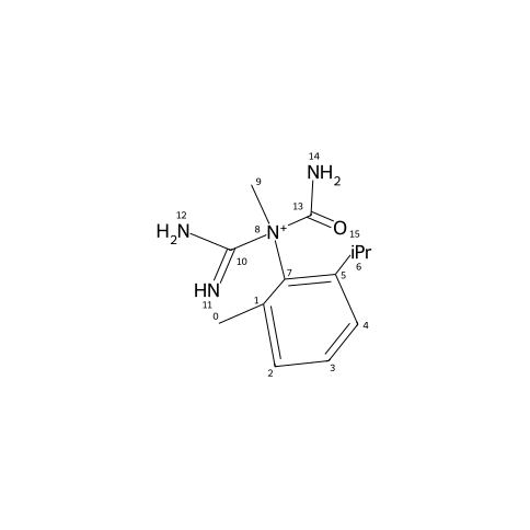 Cc1cccc(C(C)C)c1[N+](C)(C(=N)N)C(N)=O